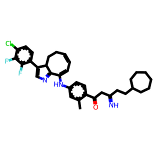 Cc1cc(N/C2=C/C=C\CCC3C(c4ccc(Cl)c(F)c4F)=CN=C23)ccc1C(=O)CC(=N)CCC1CCCCCC1